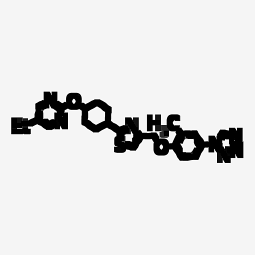 CCc1cnc(OC2CCC(c3nc(COc4ccc(-n5cnnn5)cc4C)cs3)CC2)nc1